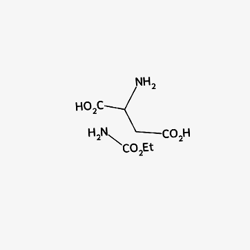 CCOC(N)=O.NC(CC(=O)O)C(=O)O